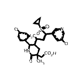 CC(CC(c1cncc(Cl)c1)S(=O)(=O)C1CC1)C1CC(C)(CC(=O)O)C(=O)NC1c1ccc(Cl)cc1